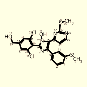 CSc1cccc(-c2nc(-c3c(Cl)cc(CO)cc3Cl)n(O)c2-c2ccnc(SC)n2)c1